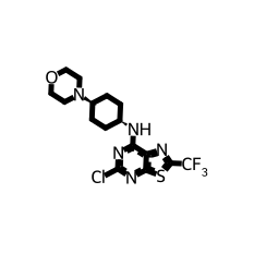 FC(F)(F)c1nc2c(N[C@H]3CC[C@H](N4CCOCC4)CC3)nc(Cl)nc2s1